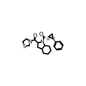 O=C(C1CC2CCCCC2N1C(=O)[C@@H]1C[C@H]1c1ccccc1)N1CCSC1